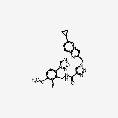 O=C(NCc1c(-n2cnnn2)ccc(OC(F)(F)F)c1F)c1cn(Cc2cn3cc(C4CC4)ccc3n2)nn1